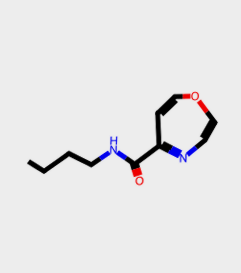 CCCCNC(=O)C1=NC=COC=C1